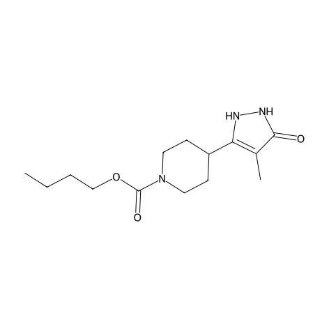 CCCCOC(=O)N1CCC(c2[nH][nH]c(=O)c2C)CC1